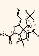 C=CCC1CN(C(=O)O)C(C(C)(C)C)C1(NC(C)=O)C(=O)NC(C)(C)C